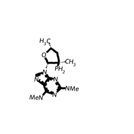 CNc1nc(NC)c2ncn([C@@H]3O[C@H](C)C[C@@]3(C)P)c2n1